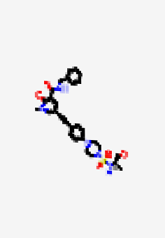 C[C@H](C=O)NS(=O)(=O)N1CCN(c2ccc(C#Cc3cc(C(=O)NCc4ccccc4)c(=O)n(C)c3)cc2)CC1